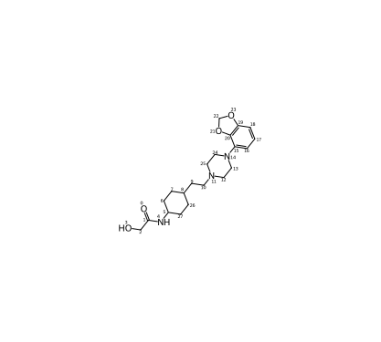 O=C(CO)NC1CCC(CCN2CCN(c3cccc4c3OCO4)CC2)CC1